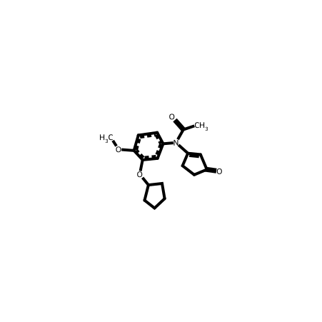 COc1ccc(N(C(C)=O)C2=CC(=O)CC2)cc1OC1CCCC1